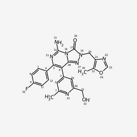 Cc1cc(-c2c(-c3ccc(F)cc3)nc(N)n3c(=O)n(Cc4ncoc4C)nc23)cc(CO)n1